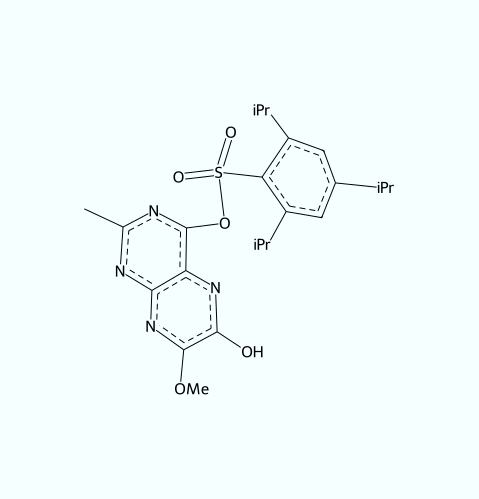 COc1nc2nc(C)nc(OS(=O)(=O)c3c(C(C)C)cc(C(C)C)cc3C(C)C)c2nc1O